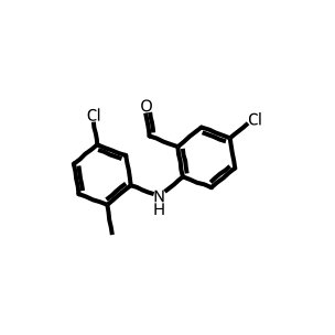 Cc1ccc(Cl)cc1Nc1ccc(Cl)cc1C=O